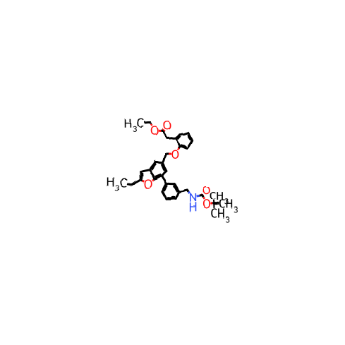 CCOC(=O)Cc1ccccc1OCc1cc(-c2cccc(CNC(=O)OC(C)(C)C)c2)c2oc(CC)cc2c1